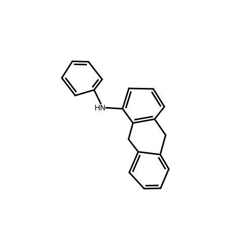 c1ccc(Nc2cccc3c2Cc2ccccc2C3)cc1